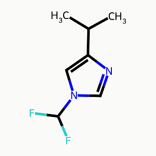 CC(C)c1cn(C(F)F)cn1